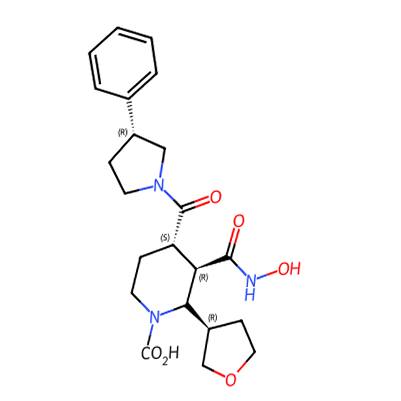 O=C(NO)[C@H]1C([C@H]2CCOC2)N(C(=O)O)CC[C@@H]1C(=O)N1CC[C@H](c2ccccc2)C1